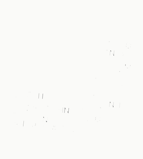 O=C1Nc2ccc(CN3CCOC3=O)cc2C1=Cc1ccc(CN2C[C@H]3CCC[C@H]3C2)[nH]1